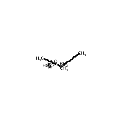 CCCCCCCCCCCC[N+](C)(C)CCOC(=O)C(CCCCCC)OS(=O)(=O)O